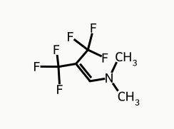 CN(C)C=C(C(F)(F)F)C(F)(F)F